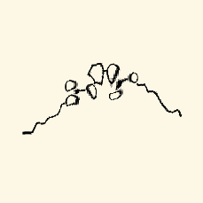 CCCCCCCOC(=O)OC1CCCC(OC(=O)OCCCCCCC)C1